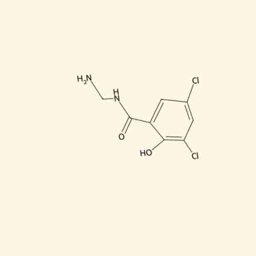 NCNC(=O)c1cc(Cl)cc(Cl)c1O